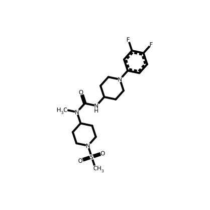 CN(C(=O)NC1CCN(c2ccc(F)c(F)c2)CC1)C1CCN(S(C)(=O)=O)CC1